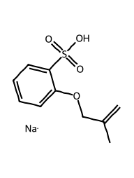 C=C(C)COc1ccccc1S(=O)(=O)O.[Na]